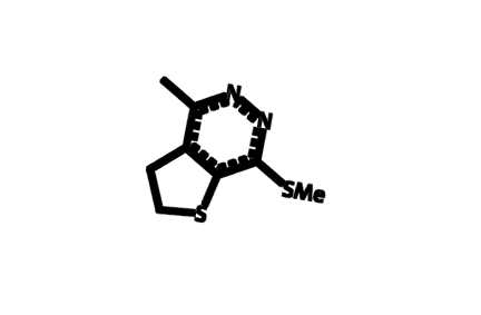 CSc1nnc(C)c2c1SCC2